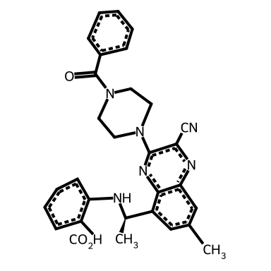 Cc1cc([C@@H](C)Nc2ccccc2C(=O)O)c2nc(N3CCN(C(=O)c4ccccc4)CC3)c(C#N)nc2c1